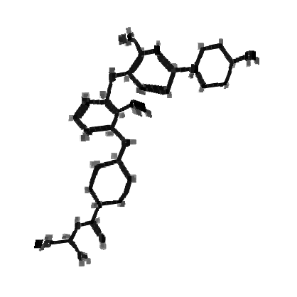 Cc1nc(N2CCC(C)CC2)ccc1Oc1ncnc(OC2CCN(C(=O)OC(C)C)CC2)c1C